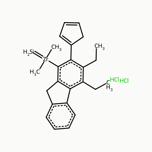 CCc1c(CC)c2c([c]([Zr]([CH3])([CH3])=[SiH2])c1C1=CC=CC1)Cc1ccccc1-2.Cl.Cl